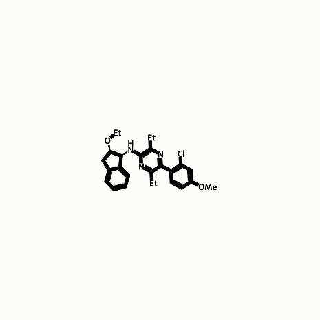 CCO[C@H]1Cc2ccccc2[C@H]1Nc1nc(CC)c(-c2ccc(OC)cc2Cl)nc1CC